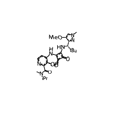 COc1cn(C)nc1[C@H](Nc1c(Nc2ccnc(C(=O)N(C)C(C)C)c2O)c(=O)c1=O)C(C)(C)C